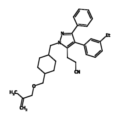 C=C(C)COCC1CCC(Cn2nc(-c3ccccc3)c(-c3cccc(CC)c3)c2CCC#N)CC1